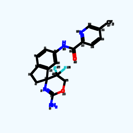 NC1=NC2(CCc3ccc(NC(=O)c4ccc(C(F)(F)F)cn4)cc32)C(F)(F)CO1